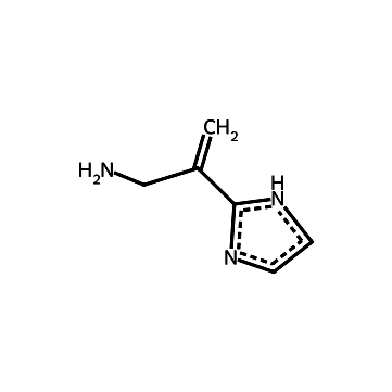 C=C(CN)c1ncc[nH]1